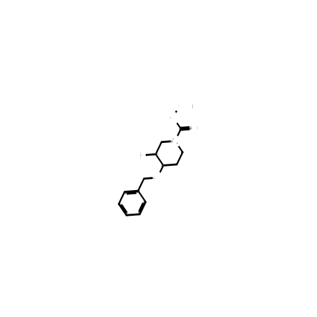 CC(C)(C)OC(=O)N1CCC(OCc2ccccc2)C(F)C1